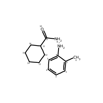 Cc1ccccc1N.NC(=O)C1CCCCC1